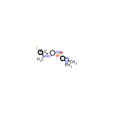 C=C(N[C@H](C)c1ccc(F)cc1)[C@H]1CC[C@H](NS(=O)(=O)c2ccc3c(c2)nc(C)n3C)CC1